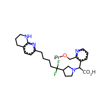 CC(C)OCc1ncccc1C(C(=O)O)N1CCC(C(F)(F)CCCCc2ccc3c(n2)NCCC3)C1